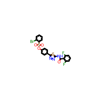 O=C(Nc1nnc(-c2ccc(OS(=O)(=O)c3ccccc3Br)cc2)s1)c1c(F)cccc1F